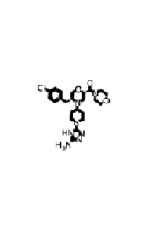 Nc1nnc(N2CCC(N3C[C@H](C(=O)N4CCOCC4)OC[C@@H]3Cc3ccc(Cl)cc3)CC2)[nH]1